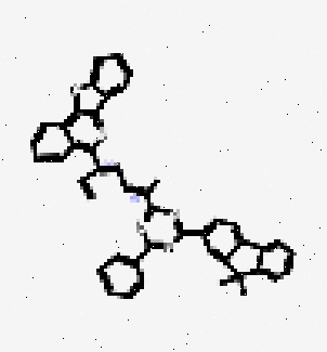 C=C/C(=C\C=C(/C)c1nc(-c2ccccc2)nc(-c2ccc3c(c2)C(C)(C)c2ccccc2-3)n1)c1nc2c3ccccc3oc2c2ccccc12